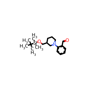 CC(C)(C)[Si](C)(C)OCC1CCCN(c2ccccc2C=O)C1